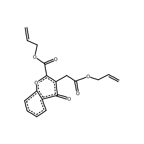 C=CCOC(=O)Cc1c(C(=O)OCC=C)oc2ccccc2c1=O